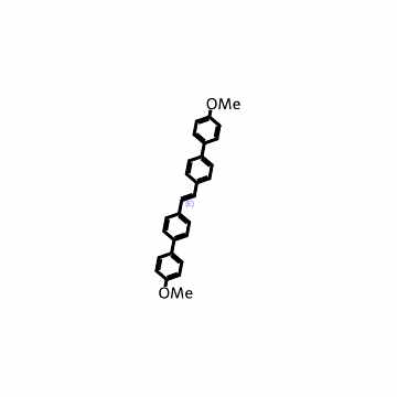 COc1ccc(-c2ccc(/C=C/c3ccc(-c4ccc(OC)cc4)cc3)cc2)cc1